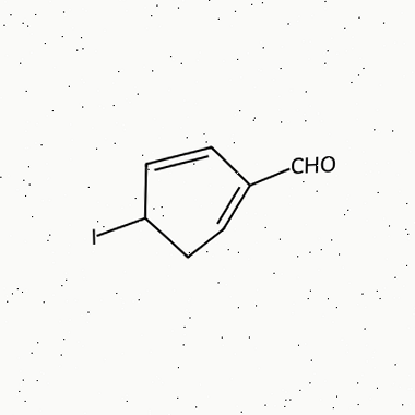 O=CC1=CCC(I)C=C1